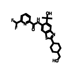 CC(C)(O)c1cc2nc(C3CCC(CO)CC3)sc2cc1NC(=O)c1cccc(C(F)F)n1